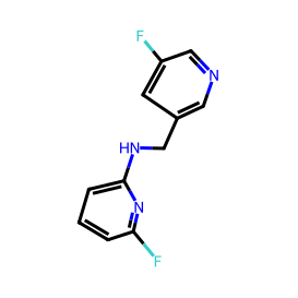 Fc1cncc(CNc2cccc(F)n2)c1